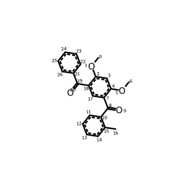 COc1cc(OC)c(C(=O)c2ccccc2C)cc1C(=O)c1ccccc1